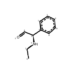 CCN[C@@H](C=O)c1ccccc1